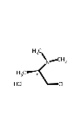 C[C@H](CCl)N(C)C.Cl